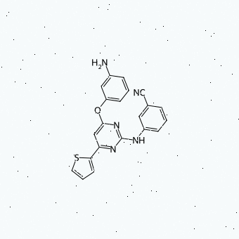 N#Cc1cccc(Nc2nc(Oc3cccc(N)c3)cc(-c3cccs3)n2)c1